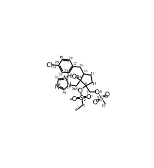 CCS(=O)(=O)OC1(COS(C)(=O)=O)CCC(Cc2ccc(Cl)cc2)C1(O)Cn1cncn1